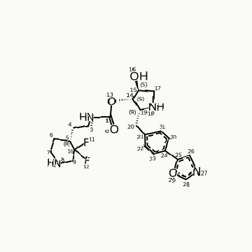 O=C(NCC[C@H]1CCNCC1(F)F)O[C@@H]1[C@@H](O)CN[C@@H]1Cc1ccc(-c2cnco2)cc1